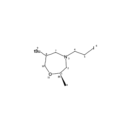 C[C@@H]1CN(CCI)CC(C(C)(C)C)CO1